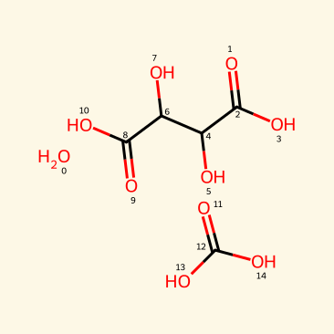 O.O=C(O)C(O)C(O)C(=O)O.O=C(O)O